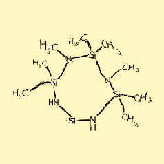 CN1[Si](C)(C)N[Si]N[Si](C)(C)N(C)[Si]1(C)C